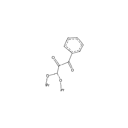 CC(C)OC(OC(C)C)C(=O)C(=O)c1ccccc1